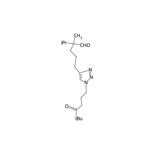 CC(C)C(C)(C=O)CCCc1cn(CCCC(=O)C(C)(C)C)nn1